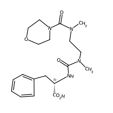 CN(CCN(C)C(=O)N1CCOCC1)C(=O)N[C@@H](Cc1ccccc1)C(=O)O